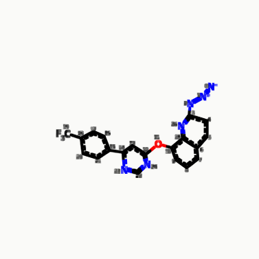 [N-]=[N+]=Nc1ccc2cccc(Oc3cc(-c4ccc(C(F)(F)F)cc4)ncn3)c2n1